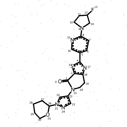 O=C1c2sc(-c3ccc(N4CCC(F)C4)nc3)nc2CCN1c1cnn(C2CCCCO2)c1